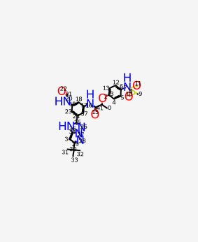 CC(Oc1ccc(NS(C)(=O)=O)cc1)C(=O)Nc1cc(NC=O)cc(-c2nn3nc(C(C)(C)C)cc3[nH]2)c1